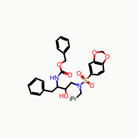 CC(C)CN(CC(O)C(Cc1ccccc1)NC(=O)OCc1ccccc1)S(=O)(=O)c1ccc2c(c1)OCO2